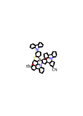 CC(C)(C)c1cc2c3c(c1)N(c1ccccc1-c1ccccc1)c1cc(-c4cc(C#N)ccc4-n4c5ccccc5c5ccccc54)ccc1B3c1ccc(-n3c4ccccc4c4ccccc43)cc1S2